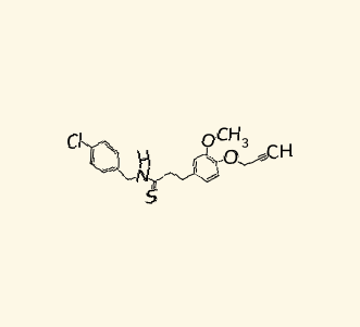 C#CCOc1ccc(CCC(=S)NCc2ccc(Cl)cc2)cc1OC